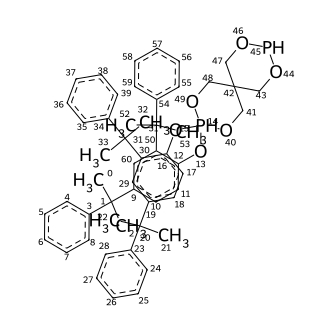 CC(C)(c1ccccc1)c1ccc(O[PH]2(Oc3ccc(C(C)(C)c4ccccc4)cc3C(C)(C)c3ccccc3)OCC3(COPOC3)CO2)c(C(C)(C)c2ccccc2)c1